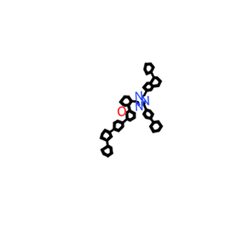 c1ccc(-c2ccc(-c3nc(-c4ccc5c(-c6ccccc6)cccc5c4)nc(-c4cccc5oc6c(-c7ccc(-c8cccc(-c9ccccc9)c8)cc7)cccc6c45)n3)cc2)cc1